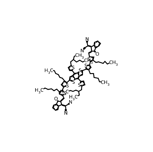 CCCCCCc1cc(/C=C2\C(=O)c3ccccc3C2=C(C#N)C#N)sc1-c1cc(CCCCCC)c(-c2cc3c(-c4ccc(CC(CC)CCCC)s4)c4sc(-c5sc(-c6sc(/C=C7\C(=O)c8ccccc8C7=C(C#N)C#N)cc6CCCCCC)cc5CCCCCC)cc4c(-c4ccc(CC(CC)CCCC)s4)c3s2)s1